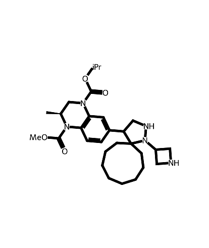 COC(=O)N1c2ccc(C3CNN(C4CNC4)C34CCCCCCCC4)cc2N(C(=O)OC(C)C)C[C@@H]1C